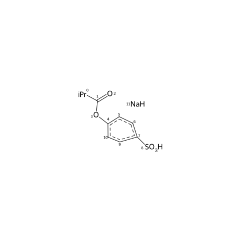 CC(C)C(=O)Oc1ccc(S(=O)(=O)O)cc1.[NaH]